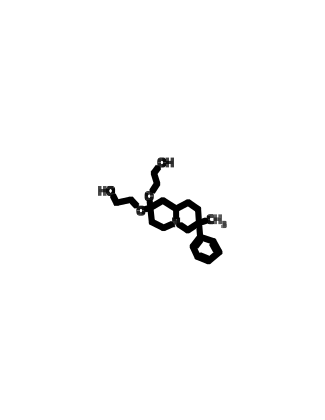 CC1(c2ccccc2)CCC2CC(OCCO)(OCCO)CCN2C1